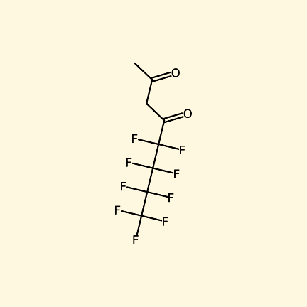 CC(=O)CC(=O)C(F)(F)C(F)(F)C(F)(F)C(F)(F)F